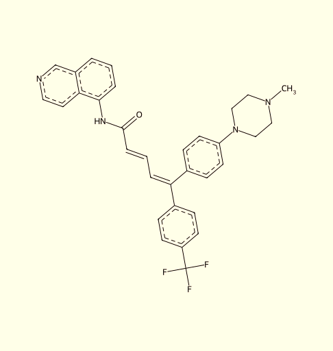 CN1CCN(c2ccc(C(=CC=CC(=O)Nc3cccc4cnccc34)c3ccc(C(F)(F)F)cc3)cc2)CC1